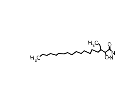 CCCCCCCCCCCCCCCC(CC)C1ON=NC1=O